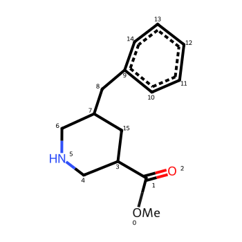 COC(=O)C1CNCC(Cc2ccccc2)C1